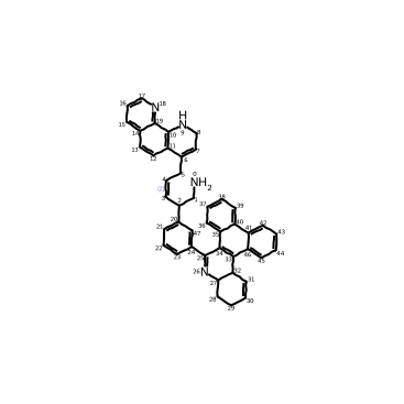 NCC(/C=C\CC1=CCNc2c1ccc1cccnc21)c1cccc(C2=NC3CCC=CC3c3c2c2ccccc2c2ccccc32)c1